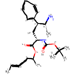 CC=CCC(C)OC(=O)[C@H](C[C@@H](c1ccccc1)[C@@H](C)N)NC(=O)OC(C)(C)C